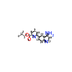 CC(C)COC(=O)c1cccc(-c2ccc3nccc(N)c3c2)n1